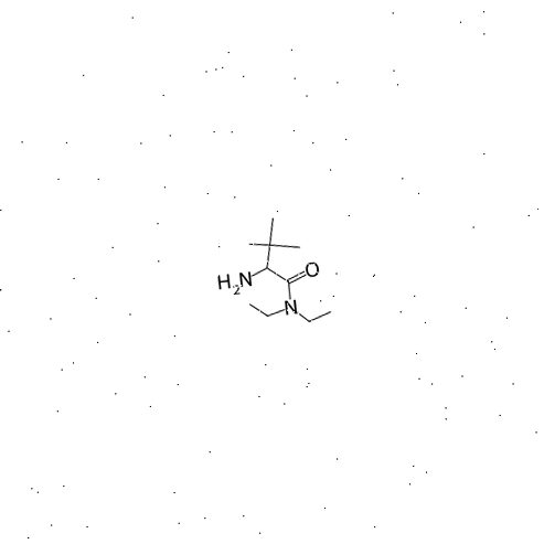 CCN(CC)C(=O)C(N)C(C)(C)C